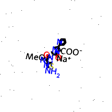 CO/N=C(\C(=O)N[C@@H]1CN2CC(c3ccccn3)=C(C(=O)[O-])N2C1=O)c1csc(N)n1.[Na+]